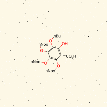 CCCCCCCCCOc1c(OCCCC)c(O)c(C(=O)O)c(OCCCCCCCCC)c1OCCCCCCCCC